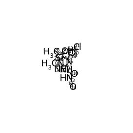 CC(=N)N1C(=N)C(CCC(=O)NCC=O)N=C(c2ccc(Cl)cc2)c2c1sc(C)c2C